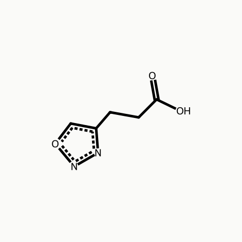 O=C(O)CCc1conn1